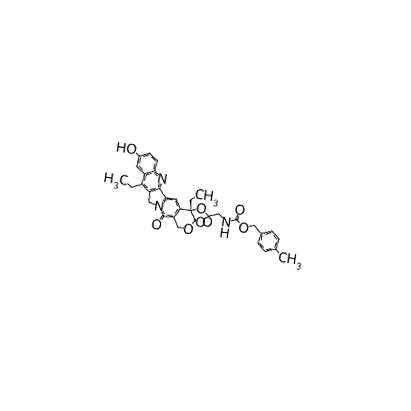 CCc1c2c(nc3ccc(O)cc13)-c1cc3c(c(=O)n1C2)COC(=O)[C@@]3(CC)OC(=O)CNC(=O)OCc1ccc(C)cc1